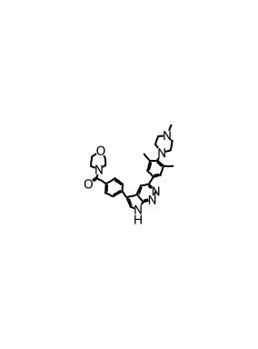 Cc1cc(-c2cc3c(-c4ccc(C(=O)N5CCOCC5)cc4)c[nH]c3nn2)cc(C)c1N1CCN(C)CC1